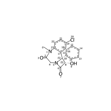 CN1C(=O)CN2C(=O)[C@@H](O)[C@]2(c2ccccc2)c2cc(Cl)ccc21